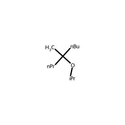 CCCCC(C)(CCC)OC(C)C